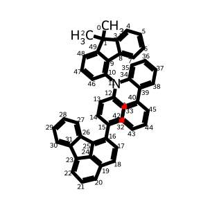 CC1(C)c2ccccc2-c2c(N(c3ccc(-c4ccc5cccc6c5c4-c4ccccc4-6)cc3)c3ccccc3-c3ccccc3)cccc21